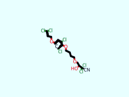 N#CC(Cl)(Cl)C(O)COCCCCOc1c(Cl)cc(OCC=C(Cl)Cl)cc1Cl